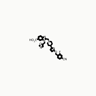 N#Cc1ccc(COn2ccc(C3CCN(Cc4nc5ccc(C(=O)O)cc5n4Cc4cnco4)CC3)n2)c(F)c1